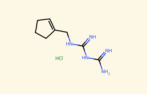 Cl.N=C(N)NC(=N)NCC1=CCCC1